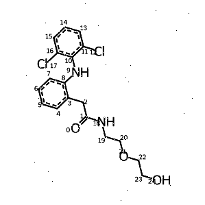 O=C(Cc1ccccc1Nc1c(Cl)cccc1Cl)NCCOCCO